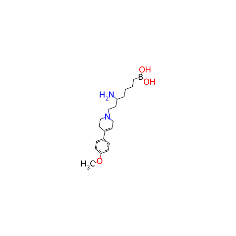 COc1ccc(C2=CCN(CCC(N)CCCCB(O)O)CC2)cc1